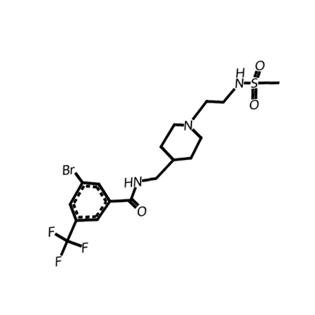 CS(=O)(=O)NCCN1CCC(CNC(=O)c2cc(Br)cc(C(F)(F)F)c2)CC1